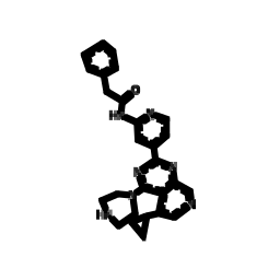 O=C(Cc1ccccc1)Nc1cc(-c2nc(N3CCNCC3)c3c(C4CC4)cncc3n2)ccn1